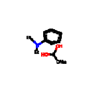 CCN(CC)c1ccccc1.COB(O)O